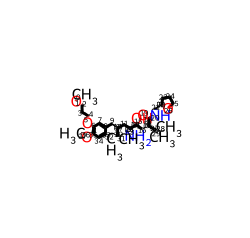 COCCCOc1cc(C[C@@H](C[C@H](N)[C@@H](O)C[C@H](C(=O)NC[C@H]2CCCO2)C(C)C)C(C)C)ccc1OC